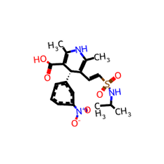 CC1=C(C=CS(=O)(=O)NC(C)C)[C@H](c2cccc([N+](=O)[O-])c2)C(C(=O)O)=C(C)N1